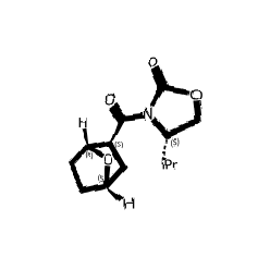 CC(C)[C@H]1COC(=O)N1C(=O)[C@H]1C[C@@H]2CC[C@H]1O2